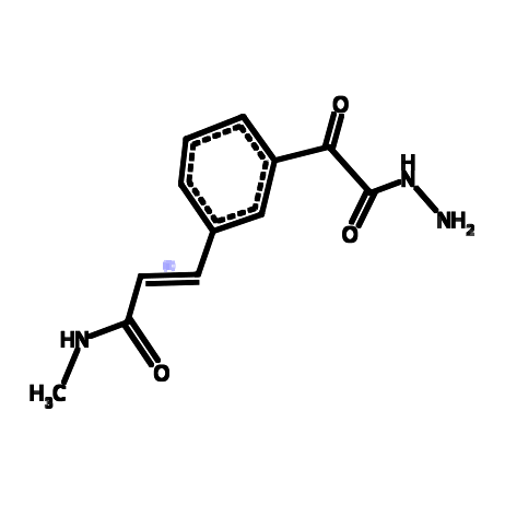 CNC(=O)/C=C/c1cccc(C(=O)C(=O)NN)c1